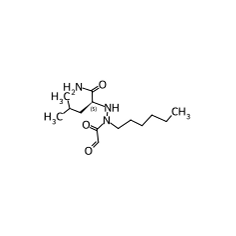 CCCCCCN(N[C@@H](CC(C)C)C(N)=O)C(=O)C=O